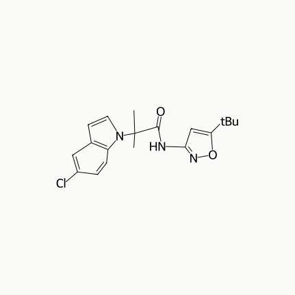 CC(C)(C)c1cc(NC(=O)C(C)(C)n2ccc3cc(Cl)ccc32)no1